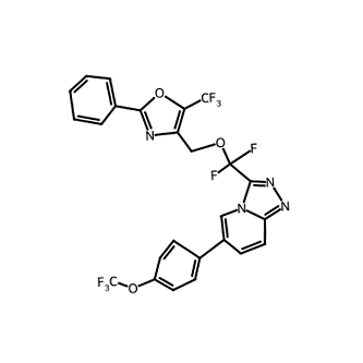 FC(F)(F)Oc1ccc(-c2ccc3nnc(C(F)(F)OCc4nc(-c5ccccc5)oc4C(F)(F)F)n3c2)cc1